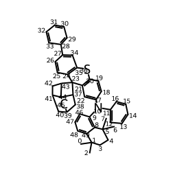 CC1(C)CCC(C)(C)c2c(N(c3ccccc3)c3ccc4c(c3)C3(c5ccc(-c6ccccc6)cc5S4)C4CC5CC6CC3C64C5)cccc21